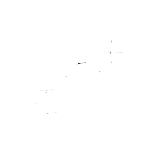 CC1(C)O[C@H](C(=O)OCc2ccccc2)C(C)(C)O1